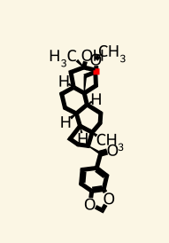 COCC[C@]12CC[C@@](C)(O)C[C@@H]1CC[C@H]1[C@@H]3CC[C@H](C(=O)c4ccc5c(c4)OCO5)[C@@]3(C)CC[C@@H]12